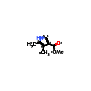 COC(=O)c1c[nH]c(C)c1C